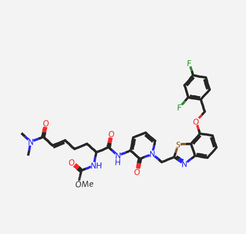 COC(=O)NC(CCC=CC(=O)N(C)C)C(=O)Nc1cccn(Cc2nc3cccc(OCc4ccc(F)cc4F)c3s2)c1=O